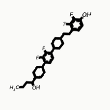 CCCC(O)C1CCC(c2ccc(C3CCC(CCc4ccc(O)c(F)c4F)CC3)c(F)c2F)CC1